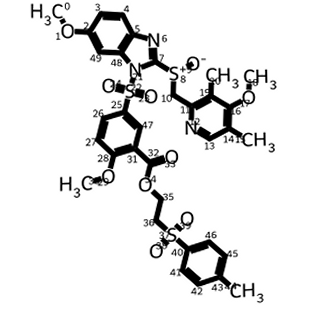 COc1ccc2nc([S+]([O-])Cc3ncc(C)c(OC)c3C)n(S(=O)(=O)c3ccc(OC)c(C(=O)OCCS(=O)(=O)c4ccc(C)cc4)c3)c2c1